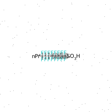 CCCC(F)(F)C(F)(F)C(F)(F)C(F)(F)C(F)(F)C(F)(F)C(F)(F)C(F)(F)S(=O)(=O)O